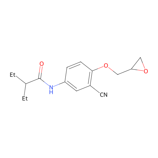 CCC(CC)C(=O)Nc1ccc(OCC2CO2)c(C#N)c1